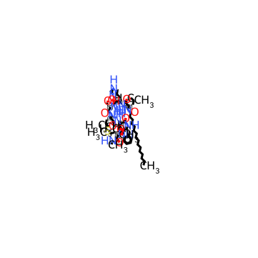 CCCCCCCCCCCCCCCC(=O)N[C@@H](CC(C)C)C(=O)N[C@@H](Cc1c[nH]cn1)C(=O)N[C@@H](CO)C(=O)N[C@@H](CC(C)C)C(=O)N[C@H](C(=O)N[C@@H](Cc1ccccc1)C(=O)N[C@@H](CCSC)C(=O)NC)[C@@H](C)CC